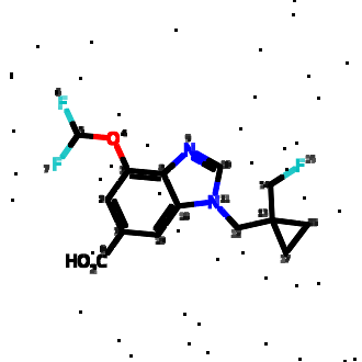 O=C(O)c1cc(OC(F)F)c2ncn(CC3(CF)CC3)c2c1